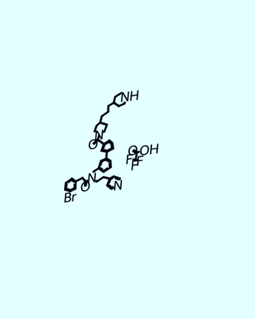 O=C(Cc1cccc(Br)c1)N(CCc1ccncc1)Cc1cccc(-c2cccc(C(=O)N3CCC(CCCC4CCNCC4)CC3)c2)c1.O=C(O)C(F)(F)F